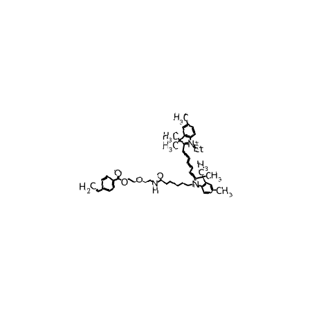 C=Cc1ccc(C(=O)OCCOCCNC(=O)CCCCCN2/C(=C/C=C/C=C/C3=[N+](CC)c4ccc(C)cc4C3(C)C)C(C)(C)c3cc(C)ccc32)cc1